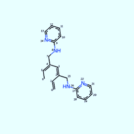 C=C/C(=C\C(=C/C)CNc1ccccn1)CNc1ccccn1